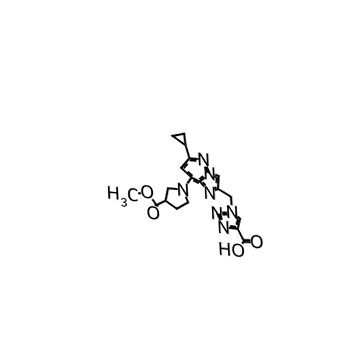 COC(=O)C1CCN(c2cc(C3CC3)nn3cc(Cn4cc(C(=O)O)nn4)nc23)C1